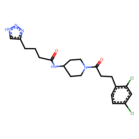 O=C(CCCc1c[nH]nn1)NC1CCN(C(=O)CCc2ccc(Cl)cc2Cl)CC1